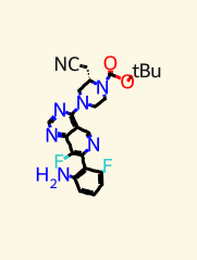 CC(C)(C)OC(=O)N1CCN(c2ncnc3c(F)c(-c4c(N)cccc4F)ncc23)C[C@@H]1CC#N